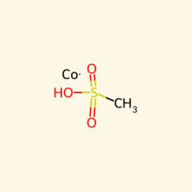 CS(=O)(=O)O.[Co]